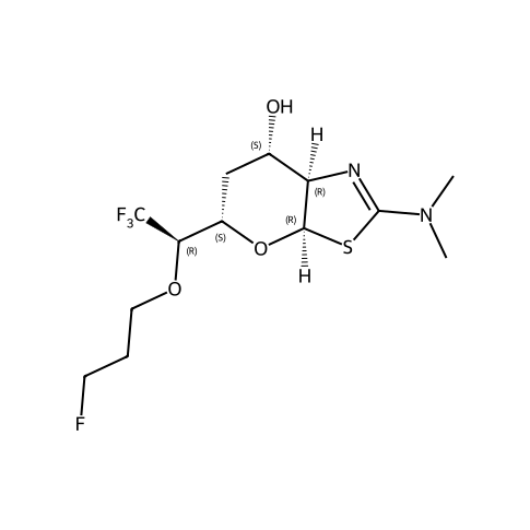 CN(C)C1=N[C@H]2[C@H](O[C@H]([C@@H](OCCCF)C(F)(F)F)C[C@@H]2O)S1